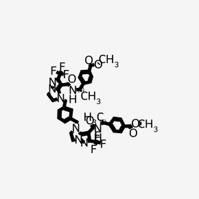 COC(=O)c1ccc([C@H](C)NC(=O)c2c(C(F)(F)F)nn3c2N(Cc2cccc(CN4CCn5nc(C(F)(F)F)c(C(=O)N[C@@H](C)c6ccc(C(=O)OC)cc6)c54)c2)CC3)cc1